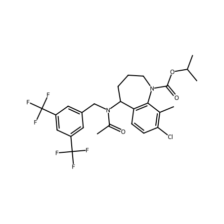 CC(=O)N(Cc1cc(C(F)(F)F)cc(C(F)(F)F)c1)C1CCCN(C(=O)OC(C)C)c2c1ccc(Cl)c2C